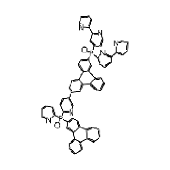 O=P(c1ccnc(-c2ccccn2)c1)(c1ccc2c3ccc(-c4ccc(P(=O)(c5ccc6c7ccccc7c7ccccc7c6c5)c5ccccn5)nc4)cc3c3ccccc3c2c1)c1cccc(-c2ccccn2)n1